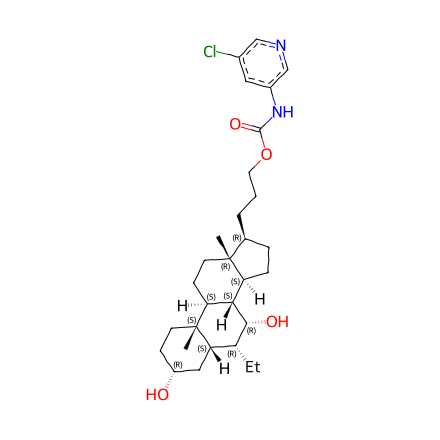 CC[C@H]1[C@@H](O)[C@@H]2[C@H](CC[C@]3(C)[C@@H](CCCOC(=O)Nc4cncc(Cl)c4)CC[C@@H]23)[C@@]2(C)CC[C@@H](O)C[C@@H]12